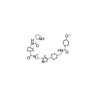 COc1ccc(C(=O)NCc2ccc(-c3cnc(C4CN(C(=O)c5ccc(NC(=O)[C@@H]6CCCN6)s5)C4)s3)cc2)cc1